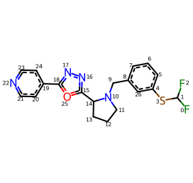 FC(F)Sc1cccc(CN2CCCC2c2nnc(-c3ccncc3)o2)c1